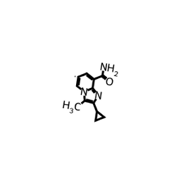 Cc1c(C2CC2)nc2c(C(N)=O)c[c]cn12